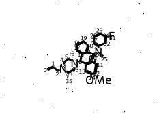 C=CCN1C[C@H](C)N([C@H](c2cccc(OC)c2)c2ccccc2C(=O)N(C)c2cccc(F)c2)C[C@H]1C